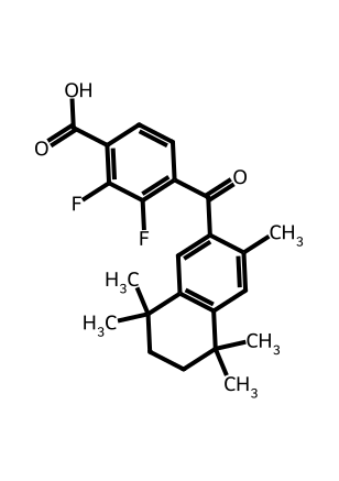 Cc1cc2c(cc1C(=O)c1ccc(C(=O)O)c(F)c1F)C(C)(C)CCC2(C)C